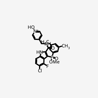 COP(=O)(c1cc(C)cc(C)c1)c1c(C(=O)NCc2cc[n+](O)cc2)[nH]c2ccc(Cl)c(F)c12